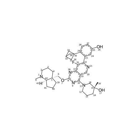 CN1CCC[C@@]2(COc3nc(N4CCC[C@@](C)(O)C4)c4cnc(-c5cc(O)ccc5C56CC(C5)C6)c(F)c4n3)CCC[C@@H]12